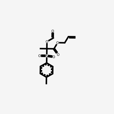 C=CCOC(=O)C(C)(O[C]=O)S(=O)(=O)c1ccc(C)cc1